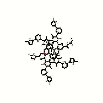 C=C(O/C(C)=C\C)c1cccc(-c2c(C)c(-c3cccc(-c4ccc(C)o4)c3)c(C)c3c4c(C)c(-c5cccc(C6CC=C(C)O6)n5)c(C)c(-c5cccc(-c6ccc(C)o6)c5)c4n(CCCCn4c5c(-c6cccc(-c7ccc(C)o7)n6)c(C)c(-c6cccc(-c7ccc(C)o7)n6)c(C)c5c5c(C)c(-c6cccc(-c7ccc(C)o7)n6)c(C)c(-c6cccc(-c7ccc(C)o7)n6)c54)c23)n1